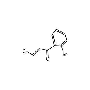 O=C(C=CCl)c1ccccc1Br